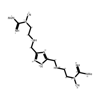 CNC(=N)N(C#N)CCNCc1n[nH]c(CNCCN(C#N)C(=N)NC)n1